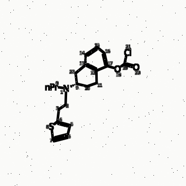 CCCN(CCc1cc#cs1)[C@H]1CCc2c(cccc2OC(=O)Cl)C1